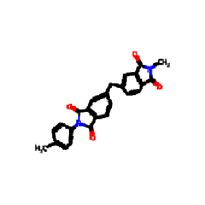 Cc1ccc(N2C(=O)c3ccc(Cc4ccc5c(c4)C(=O)N(C)C5=O)cc3C2=O)cc1